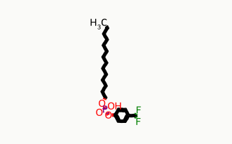 CCCCCCCCCCCCCCOP(=O)(O)Oc1ccc(C(F)F)cc1